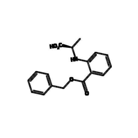 C[C@@H](Nc1ccccc1C(=O)OCc1ccccc1)C(=O)O